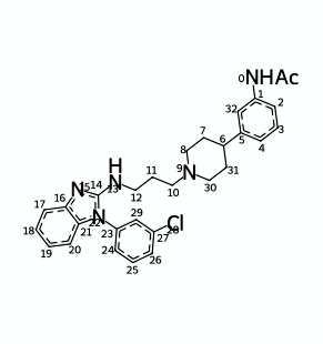 CC(=O)Nc1cccc(C2CCN(CCCNc3nc4ccccc4n3-c3cccc(Cl)c3)CC2)c1